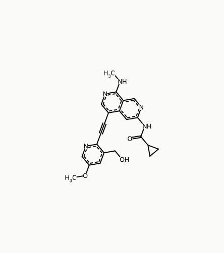 CNc1ncc(C#Cc2ncc(OC)cc2CO)c2cc(NC(=O)C3CC3)ncc12